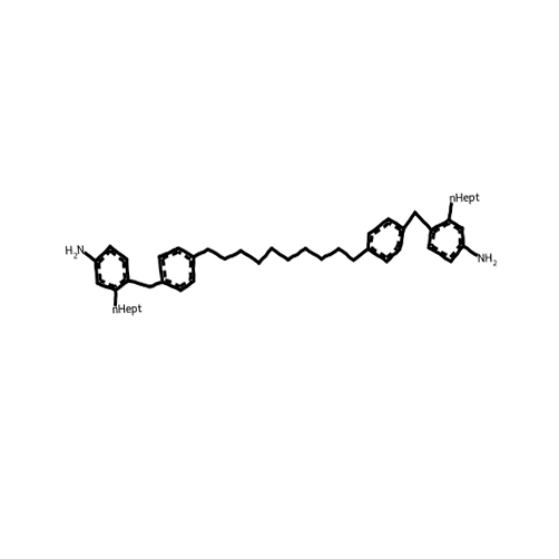 CCCCCCCc1cc(N)ccc1Cc1ccc(CCCCCCCCCCc2ccc(Cc3ccc(N)cc3CCCCCCC)cc2)cc1